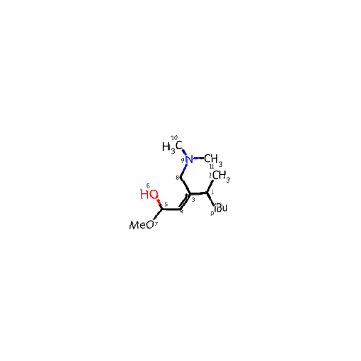 CCC(C)C(C)/C(=C/C(O)OC)CN(C)C